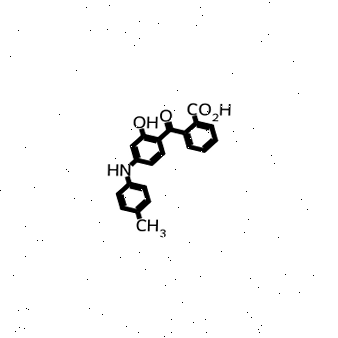 Cc1ccc(Nc2ccc(C(=O)c3ccccc3C(=O)O)c(O)c2)cc1